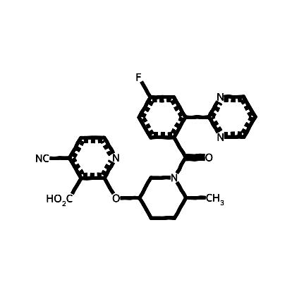 CC1CCC(Oc2nccc(C#N)c2C(=O)O)CN1C(=O)c1ccc(F)cc1-c1ncccn1